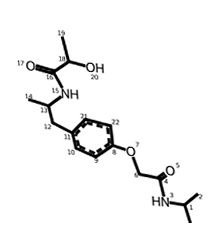 CC(C)NC(=O)COc1ccc(CC(C)NC(=O)C(C)O)cc1